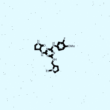 CCN1CCCC1CNc1nc(Nc2ccc(OC)c(F)c2)nc(NC2CCNC2=O)n1